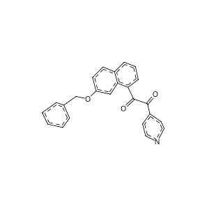 O=C(C(=O)c1cccc2ccc(OCc3ccccc3)cc12)c1ccncc1